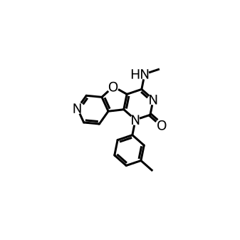 CNc1nc(=O)n(-c2cccc(C)c2)c2c1oc1cnccc12